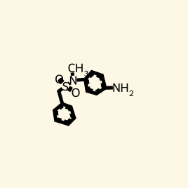 CN(c1ccc(N)cc1)S(=O)(=O)Cc1ccccc1